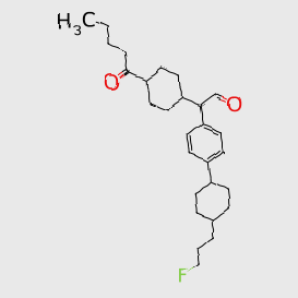 CCCCC(=O)C1CCC(C(C=O)c2ccc(C3CCC(CCCF)CC3)cc2)CC1